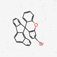 Brc1ccc2c(c1)Oc1ccccc1C21c2ccccc2-c2ccc3ccccc3c21